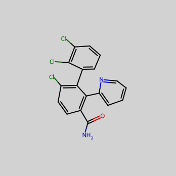 NC(=O)c1ccc(Cl)c(-c2cccc(Cl)c2Cl)c1-c1ccccn1